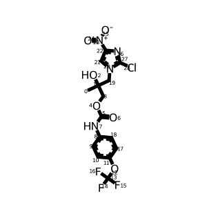 CC(O)(COC(=O)Nc1ccc(OC(F)(F)F)cc1)Cn1cc([N+](=O)[O-])nc1Cl